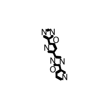 c1cc2oc3nc(-c4cnc5c(c4)oc4ncncc45)cnc3c2cn1